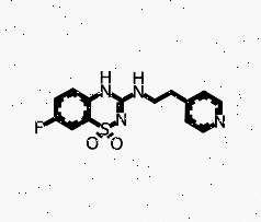 O=S1(=O)N=C(NCCc2ccncc2)Nc2ccc(F)cc21